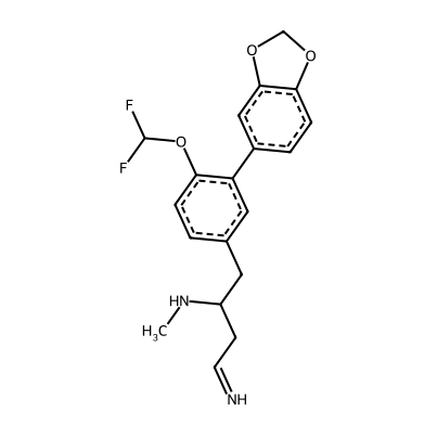 CNC(CC=N)Cc1ccc(OC(F)F)c(-c2ccc3c(c2)OCO3)c1